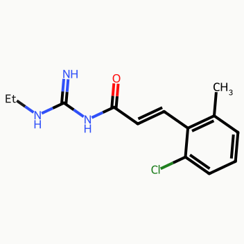 CCNC(=N)NC(=O)/C=C/c1c(C)cccc1Cl